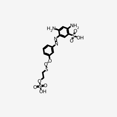 Nc1cc(N)c(S(=O)(=O)O)cc1N=Nc1cccc(OOSCCOS(=O)(=O)O)c1